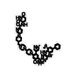 COc1cc(N2CCC(N3CCN(CC4CCN(c5ccc(C(=O)NC6CCC(=O)NC6=O)nc5)CC4)CC3)CC2)c(-c2cnn(C)c2)cc1Nc1ncc(Br)c(Nc2ccc(-c3ccccc3)cc2P(C)C)n1